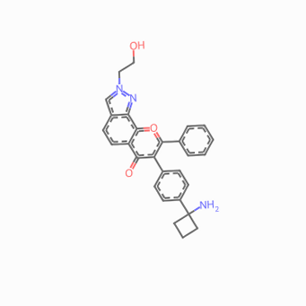 NC1(c2ccc(-c3c(-c4ccccc4)oc4c(ccc5cn(CCO)nc54)c3=O)cc2)CCC1